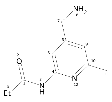 CCC(=O)Nc1cc(CN)cc(C)n1